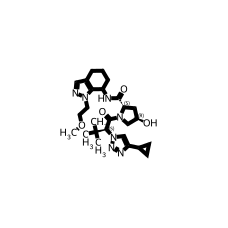 COCCn1ncc2c1C(NC(=O)[C@@H]1C[C@@H](O)CN1C(=O)[C@@H](n1cc(C3CC3)nn1)C(C)(C)C)CCC2